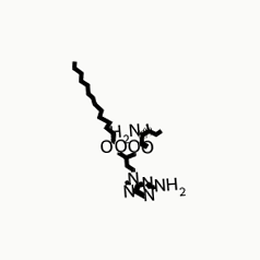 CCCCCCCCCCCCCC(=O)OCC(CCn1cnc2cnc(N)nc21)COC(=O)[C@@H](N)[C@@H](C)CC